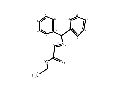 CCOC(=O)/C=N/C(c1ccccc1)c1ccccc1